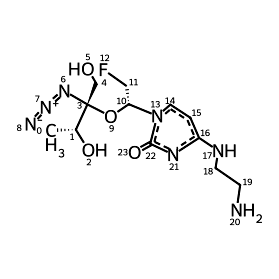 C[C@@H](O)[C@](CO)(N=[N+]=[N-])O[C@H](CF)n1ccc(NCCN)nc1=O